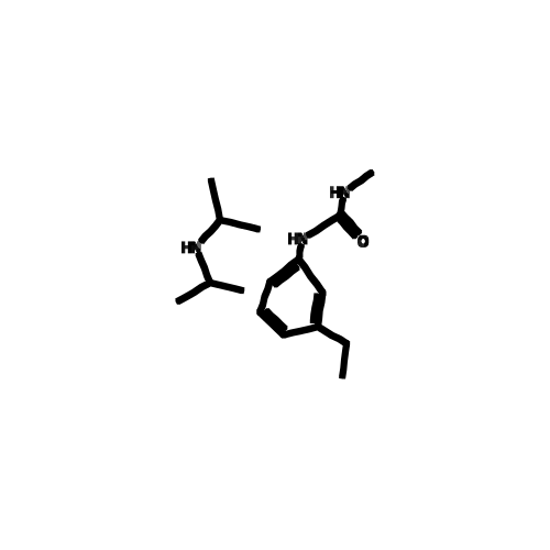 CC(C)NC(C)C.CCc1cccc(NC(=O)NC)c1